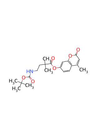 Cc1cc(=O)oc2cc(OC(=O)C(C)(C)CCNC(=O)OC(C)(C)C)ccc12